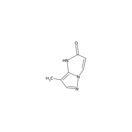 Cc1cnn2ccc(=O)[nH]c12